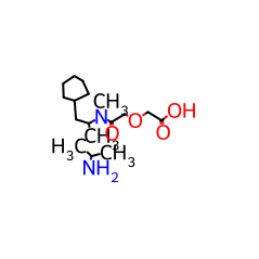 CC(C)N.CC(CC1CCCCC1)N(C)C(=O)COCC(=O)O